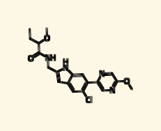 CCC(OC)C(=O)NCc1cc2cc(Cl)c(-c3cnc(OC)cn3)cc2[nH]1